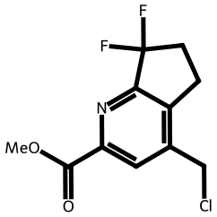 COC(=O)c1cc(CCl)c2c(n1)C(F)(F)CC2